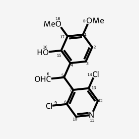 COc1ccc(C(C=O)c2c(Cl)cncc2Cl)c(O)c1OC